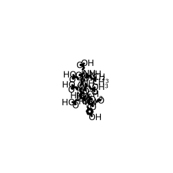 CC(C)C[C@H](N)C(=O)N[C@@H](CCC(=O)O)C(=O)N[C@@H](CCC(=O)O)C(=O)N[C@@H](CCC(=O)O)C(=O)N[C@@H](CCC(=O)O)C(=O)N[C@@H](CCC(=O)O)C(=O)N[C@@H](C)C(=O)N[C@@H](Cc1ccc(O)cc1)C(=O)NC[C]=O